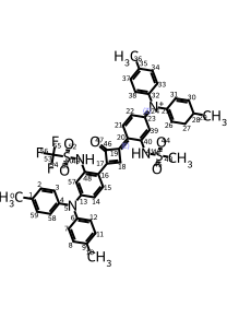 Cc1ccc(N(c2ccc(C)cc2)c2ccc(C3=C/C(=C4C=C/C(=[N+](/C5=CCC(C)C=C5)c5ccc(C)cc5)C=C/4NS(C)(=O)=O)C3=O)c(NS(=O)(=O)C(F)(F)F)c2)cc1